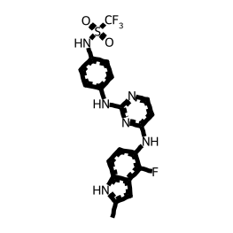 Cc1cc2c(F)c(Nc3ccnc(Nc4ccc(NS(=O)(=O)C(F)(F)F)cc4)n3)ccc2[nH]1